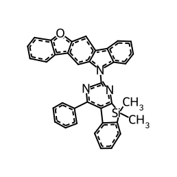 C[Si]1(C)c2ccccc2-c2c(-c3ccccc3)nc(-n3c4ccccc4c4cc5oc6ccccc6c5cc43)nc21